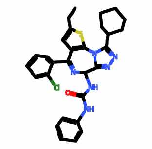 CCc1cc2c(s1)-n1c(C3CCCCC3)nnc1C(NC(=O)Nc1ccccc1)N=C2c1ccccc1Cl